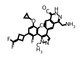 Cn1ncc(-c2ccc3c(c2)C(CN)=NNC3=C=O)c1-c1c(F)c(C2CC(=C(F)F)C2)cc(OC2CC2)c1C#N